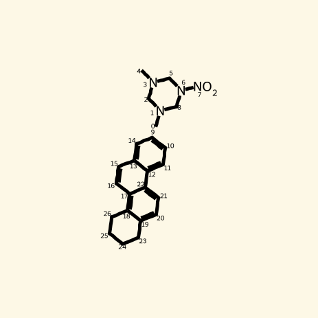 CN1CN(C)CN([N+](=O)[O-])C1.c1ccc2c(c1)ccc1c3c(ccc12)CCCC3